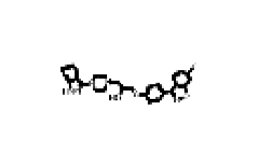 OC(COc1ccc(-c2noc3cc(F)ccc23)cc1)CN1CCN(c2n[nH]c3ccccc23)CC1